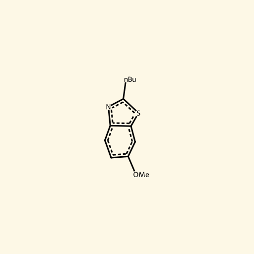 CCCCc1nc2ccc(OC)cc2s1